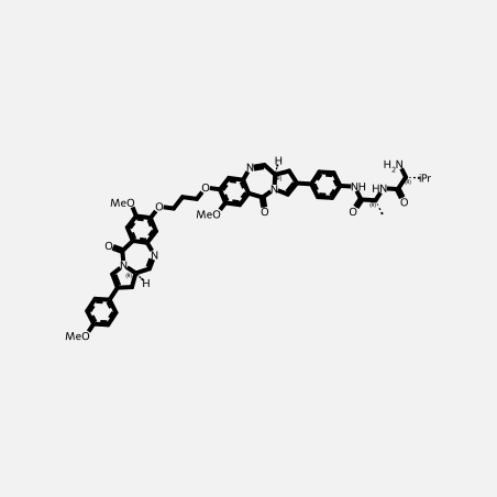 COc1ccc(C2=CN3C(=O)c4cc(OC)c(OCCCOc5cc6c(cc5OC)C(=O)N5C=C(c7ccc(NC(=O)[C@@H](C)NC(=O)[C@H](N)C(C)C)cc7)C[C@@H]5C=N6)cc4N=C[C@H]3C2)cc1